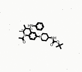 CC(=O)N1c2ccc(N3CCC(NC(=O)OC(C)(C)C)CC3)cc2[C@H](Nc2ccccc2)C(C)[C@@H]1C